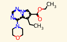 CCOC(=O)c1cn2ncnc(N3CCOCC3)c2c1CC